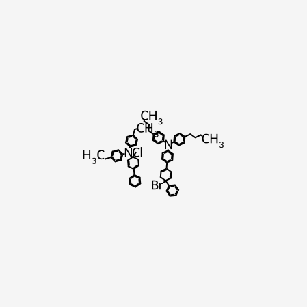 CCCCc1ccc(N(c2ccc(CCCC)cc2)c2ccc(C3=CCC(Br)(c4ccccc4)C=C3)cc2)cc1.CCc1ccc(N(c2ccc(CC)cc2)C2(Cl)C=CC(c3ccccc3)=CC2)cc1